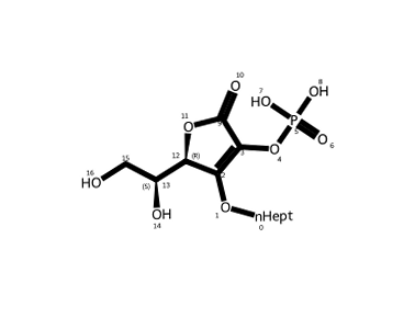 CCCCCCCOC1=C(OP(=O)(O)O)C(=O)O[C@@H]1[C@@H](O)CO